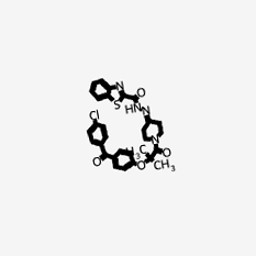 CC(C)(Oc1ccc(C(=O)c2ccc(Cl)cc2)cc1)C(=O)N1CCC(=NNC(=O)c2nc3ccccc3s2)CC1